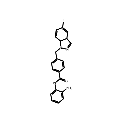 Nc1ccccc1NC(=O)c1ccc(CN2N=CC3C=C(F)C=CC32)cc1